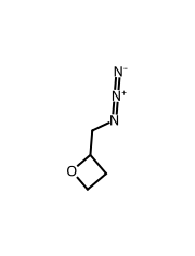 [N-]=[N+]=NCC1CCO1